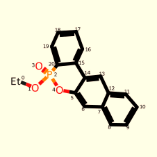 CCOP1(=O)Oc2cc3ccccc3cc2-c2ccccc21